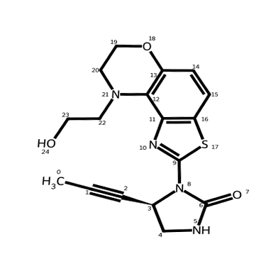 CC#C[C@@H]1CNC(=O)N1c1nc2c3c(ccc2s1)OCCN3CCO